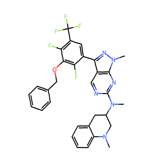 CN1CC(N(C)c2ncc3c(-c4cc(C(F)(F)F)c(F)c(OCc5ccccc5)c4F)nn(C)c3n2)Cc2ccccc21